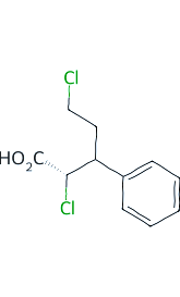 O=C(O)[C@@H](Cl)C(CCCl)c1ccccc1